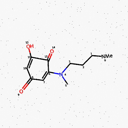 CNCCCN(C)C1=CC(=O)C=C(O)C1=O